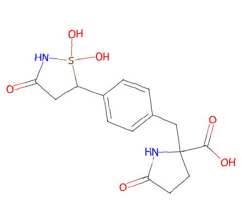 O=C1CCC(Cc2ccc(C3CC(=O)NS3(O)O)cc2)(C(=O)O)N1